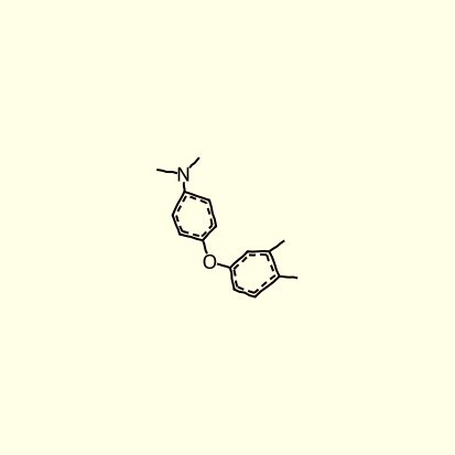 Cc1ccc(Oc2ccc(N(C)C)cc2)cc1C